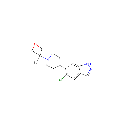 CCC1(N2CCC(c3cc4[nH]ncc4cc3Cl)CC2)COC1